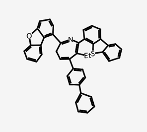 CCC1=C(c2cccc3c2sc2ccccc23)N=C(c2cccc3oc4ccccc4c23)CC=C1c1ccc(-c2ccccc2)cc1